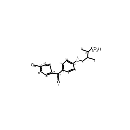 CC(COc1ccc(C(=O)c2ccc(Cl)cc2)cc1)C(C)C(=O)O